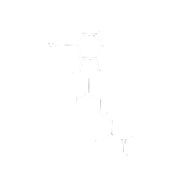 CCN(CC)C(=O)/C=C/C=C(\Cl)c1cc2cccc(OC)c2o1